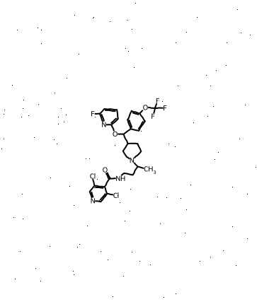 CC(CCNC(=O)c1c(Cl)cncc1Cl)N1CCC(C(Oc2cccc(F)n2)c2ccc(OC(F)(F)F)cc2)CC1